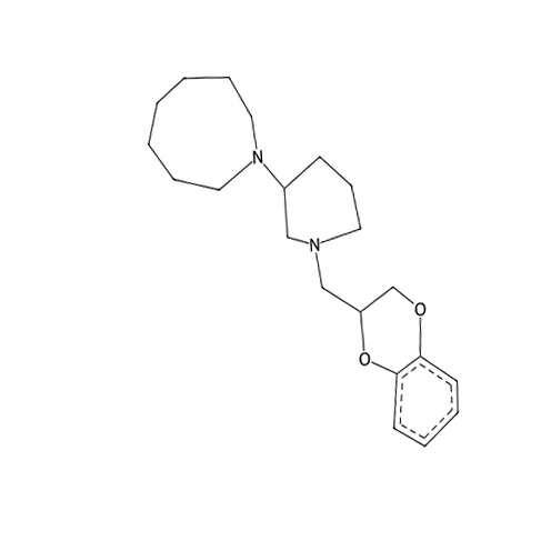 c1ccc2c(c1)OCC(CN1CCCC(N3CCCCCCC3)C1)O2